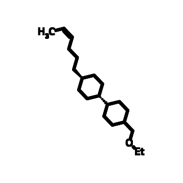 C/C=C\CCC[C@H]1CC[C@H](C2CCC(COCC)CC2)CC1